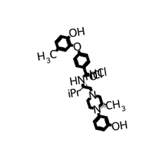 Cc1ccc(O)c(Oc2ccc(C(=O)N[C@H](CN3CCN(c4cccc(O)c4)[C@@H](C)C3)C(C)C)cc2)c1.Cl.Cl